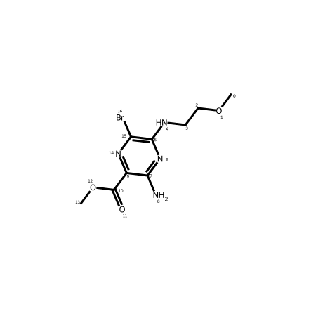 COCCNc1nc(N)c(C(=O)OC)nc1Br